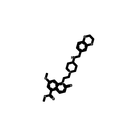 COC(=O)c1cc(OC)cc2c1ccc(=O)n2CCN1CCC(NCc2ccc3c(c2)OCCO3)CC1